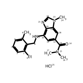 CCc1cccc(C)c1CNc1cc(C(=O)N(C)C)cc2c1ncn2C.Cl